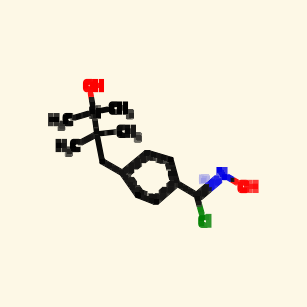 CC(C)(Cc1ccc(/C(Cl)=N/O)cc1)[Si](C)(C)O